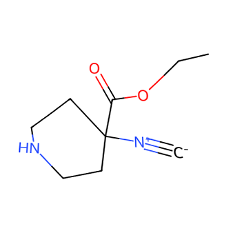 [C-]#[N+]C1(C(=O)OCC)CCNCC1